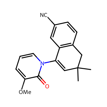 COc1cccn(C2=CC(C)(C)Cc3ccc(C#N)cc32)c1=O